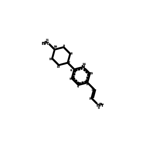 CCCC=Cc1ccc(C2CCC(CCC)CC2)nc1